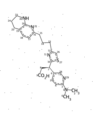 CN(C)c1ccc([C@@H](CC(=O)O)c2nc(CCCc3ccc4c(n3)NCCC4)cs2)cn1